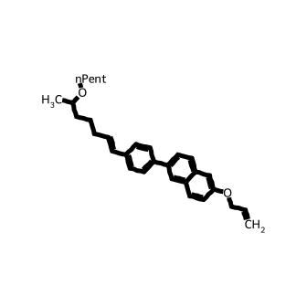 C=CCOc1ccc2cc(-c3ccc(C=CCCCC(C)OCCCCC)cc3)ccc2c1